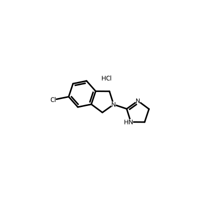 Cl.Clc1ccc2c(c1)CN(C1=NCCN1)C2